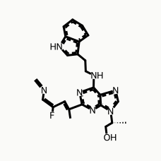 C=N/C=C(F)\C=C(/C)c1nc(NCCc2c[nH]c3ccccc23)c2ncn([C@H](C)CO)c2n1